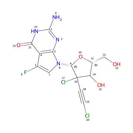 Nc1nc2c(c(F)cn2[C@@H]2O[C@H](CO)C(O)C2(Cl)C#CCl)c(=O)[nH]1